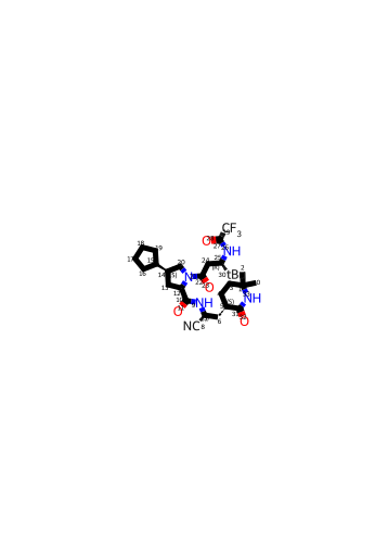 CC1(C)CC[C@@H](C[C@@H](C#N)NC(=O)C2C[C@@H](C3CCCC3)CN2C(=O)C[C@@H](NC(=O)C(F)(F)F)C(C)(C)C)C(=O)N1